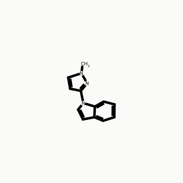 Cn1ccc(-n2ccc3ccccc32)n1